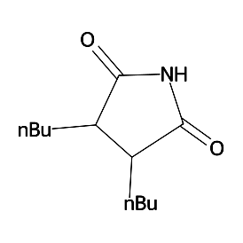 CCCCC1C(=O)NC(=O)C1CCCC